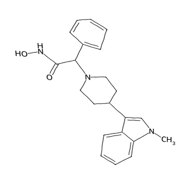 Cn1cc(C2CCN(C(C(=O)NO)c3ccccc3)CC2)c2ccccc21